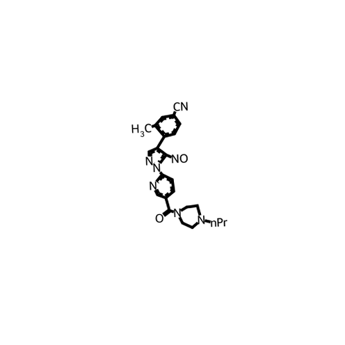 CCCN1CCN(C(=O)c2ccc(-n3ncc(-c4ccc(C#N)cc4C)c3N=O)nc2)CC1